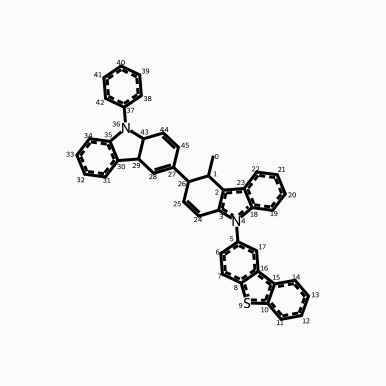 CC1c2c(n(-c3ccc4sc5ccccc5c4c3)c3ccccc23)C=CC1C1=CC2c3ccccc3N(c3ccccc3)C2C=C1